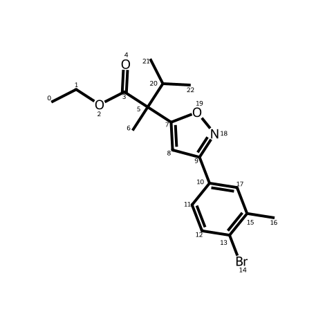 CCOC(=O)C(C)(c1cc(-c2ccc(Br)c(C)c2)no1)C(C)C